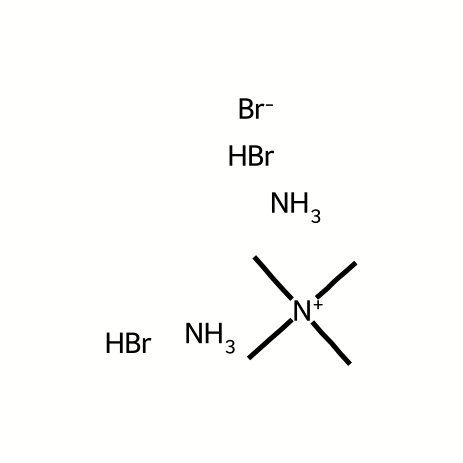 Br.Br.C[N+](C)(C)C.N.N.[Br-]